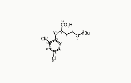 CCCCOCCC(Oc1ccc(Cl)cc1Cl)C(=O)O